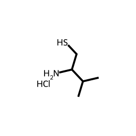 CC(C)C(N)CS.Cl